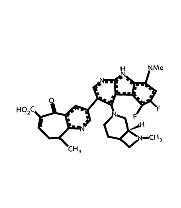 CNc1cc(F)c(F)c2c1[nH]c1ncc(-c3cnc4c(c3)C(=O)C(C(=O)O)=CCC4C)c(N3CCC4CN(C)[C@H]4C3)c12